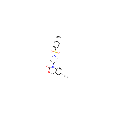 COc1ccc(S(=O)(=O)N2CCC(N3C(=O)OCc4cc(C)ccc43)CC2)cc1